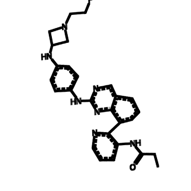 CCC(=O)Nc1cccnc1-c1cccc2cnc(Nc3ccc(NC4CN(CCF)C4)cc3)nc12